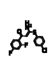 N/C(=C\C(=O)c1ccc(F)cc1F)Sc1ccc(Cl)cc1